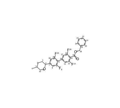 CC1CCC(c2cc(F)c(-c3cc(F)c(C(=O)OCc4ccccc4)c(F)c3)c(F)c2)OC1